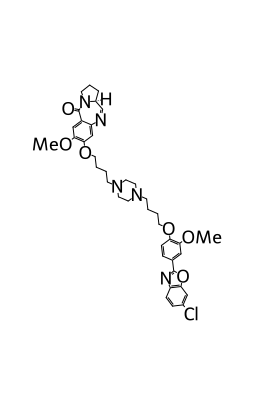 COc1cc(-c2nc3ccc(Cl)cc3o2)ccc1OCCCCN1CCN(CCCCOc2cc3c(cc2OC)C(=O)N2CCC[C@H]2C=N3)CC1